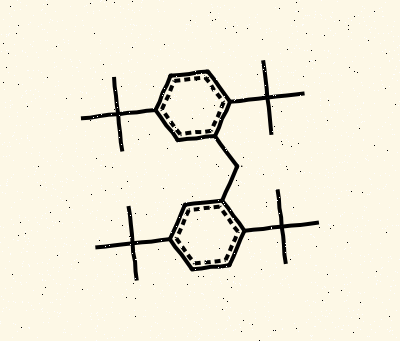 CC(C)(C)c1ccc(C(C)(C)C)c([CH]c2cc(C(C)(C)C)ccc2C(C)(C)C)c1